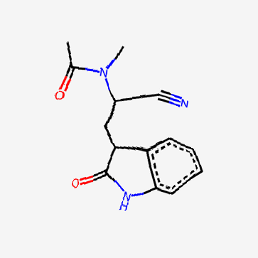 CC(=O)N(C)C(C#N)CC1C(=O)Nc2ccccc21